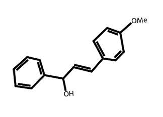 COc1ccc(/C=C/C(O)c2ccccc2)cc1